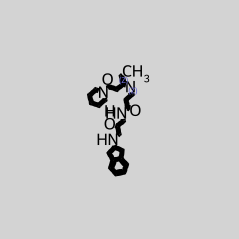 C/C=C(CC(=O)N1CCCCC1)\N=C/CC(=O)NCC(O)CNC1Cc2ccccc2C1